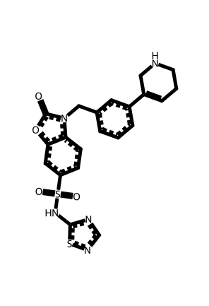 O=c1oc2cc(S(=O)(=O)Nc3ncns3)ccc2n1Cc1cccc(C2=CCCNC2)c1